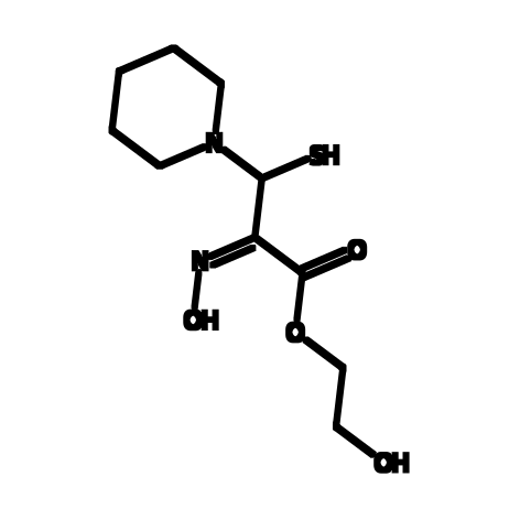 O=C(OCCO)C(=NO)C(S)N1CCCCC1